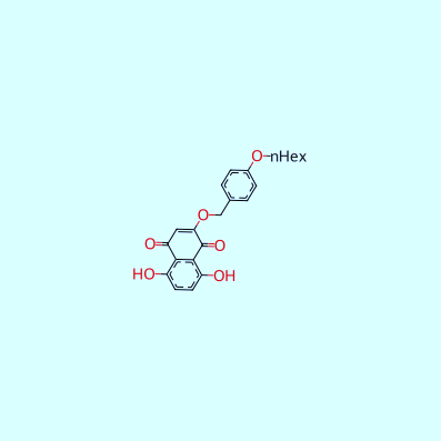 CCCCCCOc1ccc(COC2=CC(=O)c3c(O)ccc(O)c3C2=O)cc1